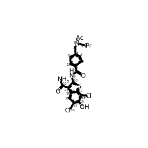 CC(=O)N(Cc1ccc(C(=O)Nc2sc3c(Cl)c(O)c(Cl)cc3c2C(N)=O)cc1)C(C)C